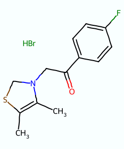 Br.CC1=C(C)N(CC(=O)c2ccc(F)cc2)CS1